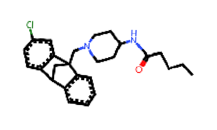 CCCCC(=O)NC1CCN(CC23CC(c4ccccc42)c2ccc(Cl)cc23)CC1